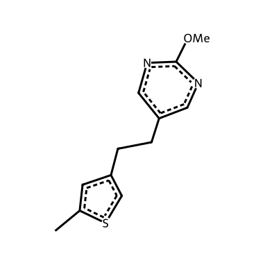 COc1ncc(CCc2csc(C)c2)cn1